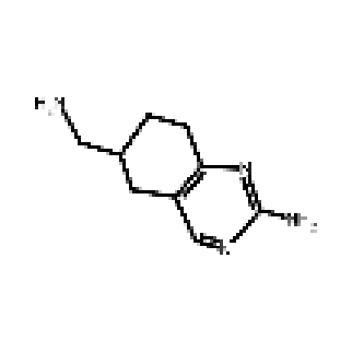 NCC1CCc2nc(N)ncc2C1